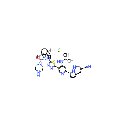 CC(C)Nc1cc(-c2ccc3cc(C#N)cnn23)ncc1-c1nnc(N2C[C@H]3CC[C@@H](C2)[C@@H]3NC(=O)N2CCNCC2)s1.Cl